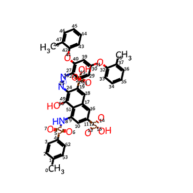 Cc1ccc(S(=O)(=O)Nc2cc(S(=O)(=O)O)cc3cc(S(=O)(=O)O)c(/N=N\c4ccc(Oc5ccccc5C)cc4Oc4ccccc4C)c(O)c23)cc1